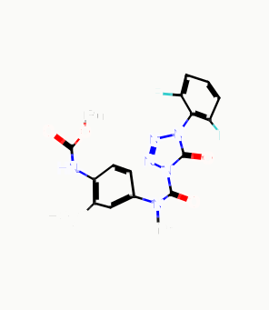 CC(C)N(C(=O)n1nnn(-c2c(F)cccc2F)c1=O)c1ccc(NC(=O)OC(C)(C)C)c(C(=O)O)c1